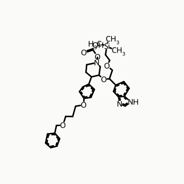 C[Si](C)(C)CCOCC(OC1CN(OC(=O)O)CCC1c1ccc(OCCCOCc2ccccc2)cc1)c1ccc2[nH]cnc2c1